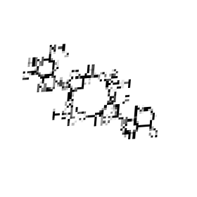 Nc1nc2c(ncn2[C@@H]2O[C@@H]3COP(=O)(S)O[C@H]4[C@H](F)[C@H](n5nnc6c5N=CCC6=O)O[C@@H]4COP(=O)(S)O[C@@H]2C3)c(=O)[nH]1